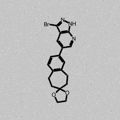 Brc1n[nH]c2ncc(-c3ccc4c(c3)CCC3(CC4)OCCO3)cc12